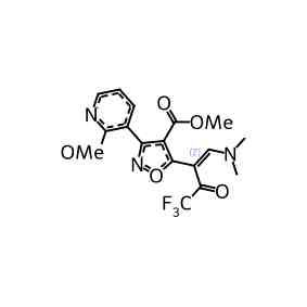 COC(=O)c1c(-c2cccnc2OC)noc1/C(=C/N(C)C)C(=O)C(F)(F)F